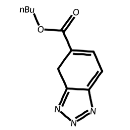 CCCCOC(=O)C1=CC=C2N=NN=C2C1